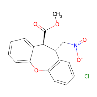 COC(=O)[C@@H]1c2ccccc2Oc2ccc(Cl)cc2[C@H]1C[N+](=O)[O-]